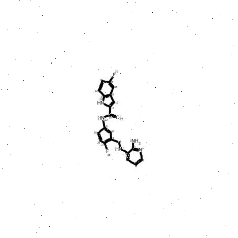 Nc1ncccc1NCc1cc(NC(=O)c2cc3cc(F)ccc3[nH]2)ccc1F